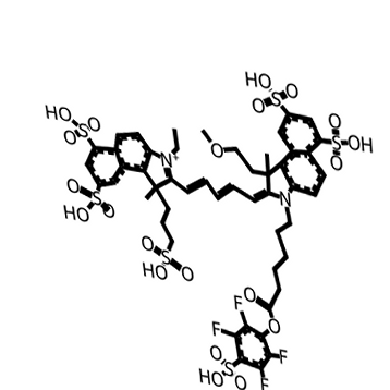 CC[N+]1=C(/C=C/C=C/C=C2/N(CCCCCC(=O)Oc3c(F)c(F)c(S(=O)(=O)O)c(F)c3F)c3ccc4c(S(=O)(=O)O)cc(S(=O)(=O)O)cc4c3C2(C)CCOC)C(C)(CCCS(=O)(=O)O)c2c1ccc1c(S(=O)(=O)O)cc(S(=O)(=O)O)cc21